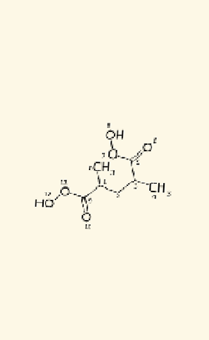 CC(CC(C)C(=O)OO)C(=O)OO